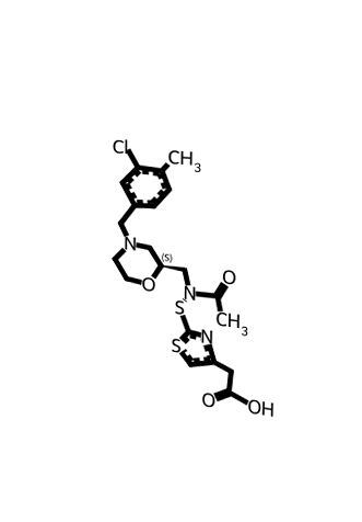 CC(=O)N(C[C@@H]1CN(Cc2ccc(C)c(Cl)c2)CCO1)Sc1nc(CC(=O)O)cs1